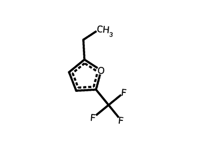 CCc1ccc(C(F)(F)F)o1